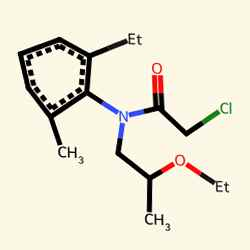 CCOC(C)CN(C(=O)CCl)c1c(C)cccc1CC